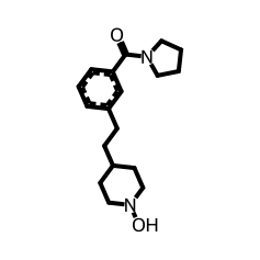 O=C(c1cccc(CCC2CCN(O)CC2)c1)N1CCCC1